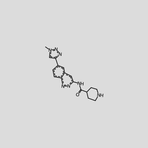 Cn1cc(-c2ccc3nnc(NC(=O)C4CCNCC4)cc3c2)nn1